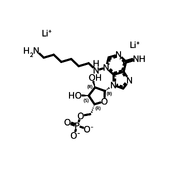 N=c1ncn(NCCCCCCN)c2c1ncn2[C@@H]1O[C@H](COP(=O)([O-])[O-])[C@@H](O)[C@H]1O.[Li+].[Li+]